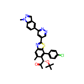 CC(=O)[C@@H](OC(C)(C)C)c1c(C)cc2nc(-c3cnnc(-c4ccc5c(cnn5C)c4)c3)sc2c1-c1ccc(Cl)cc1